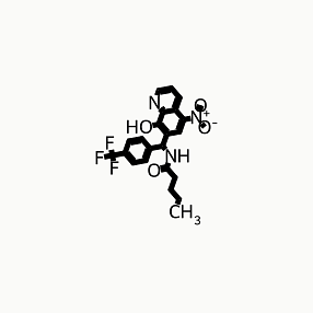 CCCCC(=O)NC(c1ccc(C(F)(F)F)cc1)c1cc([N+](=O)[O-])c2cccnc2c1O